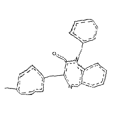 Cc1ccc(-c2nc3ccccc3n(-c3ccccc3)c2=O)cc1